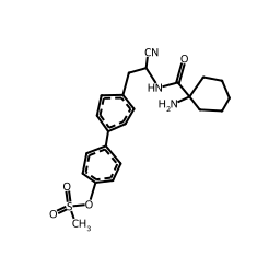 CS(=O)(=O)Oc1ccc(-c2ccc(CC(C#N)NC(=O)C3(N)CCCCC3)cc2)cc1